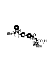 CCCCS(=O)(=O)N[C@@H](CNC(=O)c1ccc(N2CCC(Nc3nc4ccccc4n3C(=O)OC(C)(C)C)CC2)cc1)C(=O)O